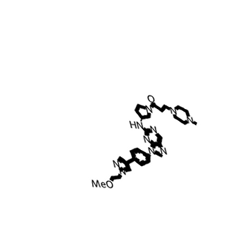 COCCn1cc(-c2ccc(-n3cnc4cnc(N[C@@H]5CCN(C(=O)CCN6CCN(C)CC6)C5)nc43)cc2)cn1